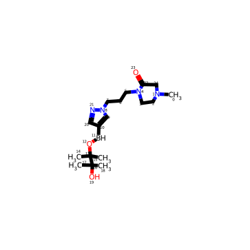 CN1CCN(CCCn2cc(BOC(C)(C)C(C)(C)O)cn2)C(=O)C1